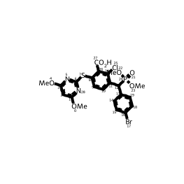 COc1cc(OC)nc(Sc2ccc(C(c3ccc(Br)cc3)P(=O)(OC)OC)c(Cl)c2C(=O)O)n1